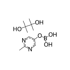 CC(C)(O)C(C)(C)O.Cc1ncc(OB(O)O)cn1